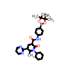 Cc1c(-c2ncccn2)cc(C(=O)Nc2ccc(B3OC(C)(C)C(C)(C)O3)cc2)c(=O)n1-c1ccccc1